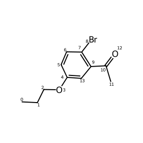 CCCOc1ccc(Br)c(C(C)=O)c1